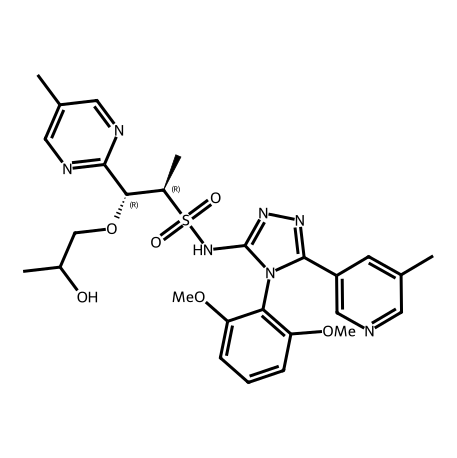 COc1cccc(OC)c1-n1c(NS(=O)(=O)[C@H](C)[C@H](OCC(C)O)c2ncc(C)cn2)nnc1-c1cncc(C)c1